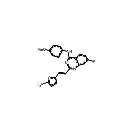 COc1ccc(Nc2nc(C=Cc3ccc([N+](=O)[O-])o3)nc3cc(F)ccc23)cc1